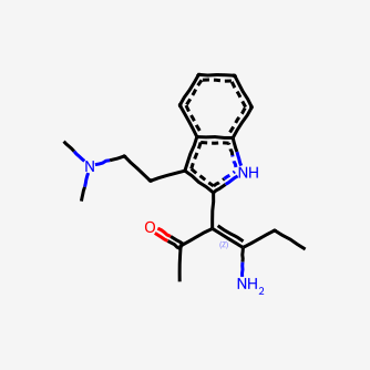 CC/C(N)=C(/C(C)=O)c1[nH]c2ccccc2c1CCN(C)C